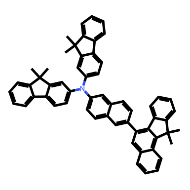 CC1(C)c2ccccc2-c2ccc(N(c3ccc4c(c3)C(C)(C)c3ccccc3-4)c3ccc4cc(-c5cc6ccccc6c6c5-c5ccccc5C6(C)C)ccc4c3)cc21